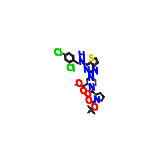 COC(=O)C1CN(c2nc(NCc3ccc(Cl)cc3Cl)c3sccc3n2)CCN1C(=O)[C@H]1CCCN1C(=O)OC(C)(C)C